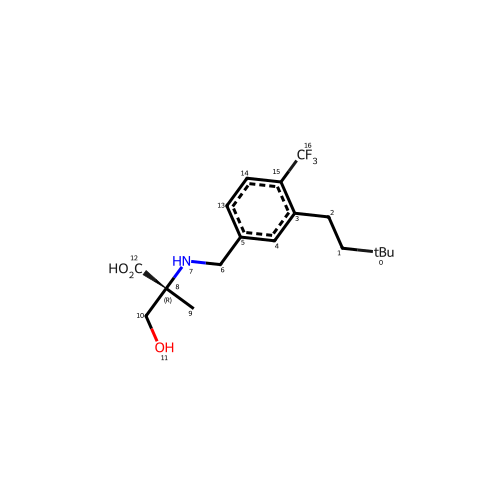 CC(C)(C)CCc1cc(CN[C@](C)(CO)C(=O)O)ccc1C(F)(F)F